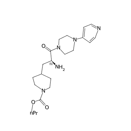 CCCOC(=O)N1CCC(C[C@H](N)C(=O)N2CCN(c3ccncc3)CC2)CC1